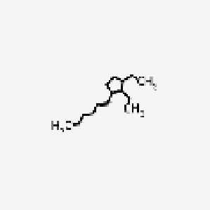 CCCC/C=[C]/C1=C(CC)C(CC)CC1